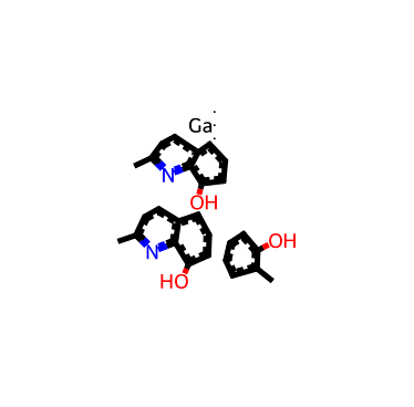 Cc1ccc2cccc(O)c2n1.Cc1ccc2cccc(O)c2n1.Cc1ccccc1O.[Ga]